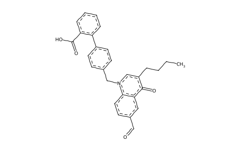 CCCCc1cn(Cc2ccc(-c3ccccc3C(=O)O)cc2)c2ccc(C=O)cc2c1=O